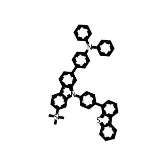 C[Si](C)(C)c1ccc2c3ccc(-c4ccc(N(c5ccccc5)c5ccccc5)cc4)cc3n(-c3ccc(-c4cccc5c4sc4ccccc45)cc3)c2c1